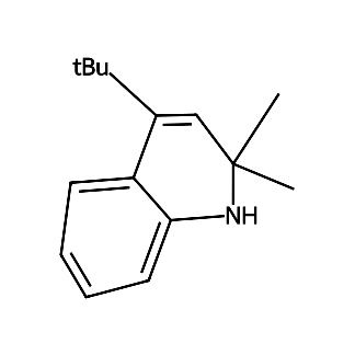 CC1(C)C=C(C(C)(C)C)c2ccccc2N1